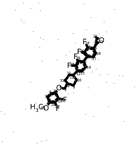 COc1ccc(OCC2CCC(c3ccc(-c4ccc(C5CO5)c(F)c4F)c(F)c3F)CC2)c(F)c1F